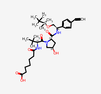 C#Cc1ccc([C@H](CO[Si](C)(C)C(C)(C)C)NC(=O)[C@@H]2C[C@@H](O)CN2C(=O)[C@@H](NC(=O)CCCCCC(=O)O)C(C)(C)C)cc1